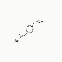 CC(=O)/C(C)=C/c1ccc(CO)cc1